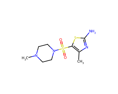 Cc1nc(N)sc1S(=O)(=O)N1CCN(C)CC1